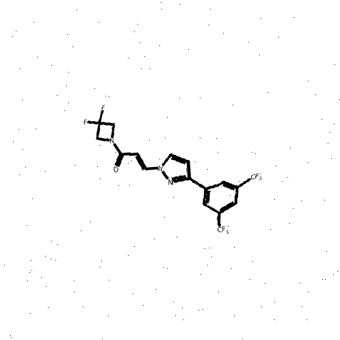 O=C(C=Cn1ccc(-c2cc(C(F)(F)F)cc(C(F)(F)F)c2)n1)N1CC(F)(F)C1